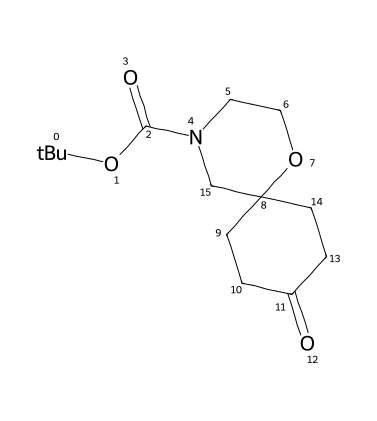 CC(C)(C)OC(=O)N1CCOC2(CCC(=O)CC2)C1